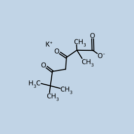 CC(C)(C)C(=O)CC(=O)C(C)(C)C(=O)[O-].[K+]